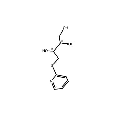 OC[C@@H](O)[C@@H](O)CSc1ccccn1